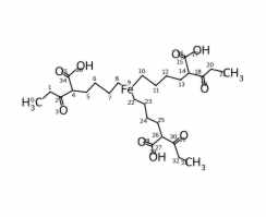 CCC(=O)C(CCC[CH2][Fe]([CH2]CCCC(C(=O)O)C(=O)CC)[CH2]CCCC(C(=O)O)C(=O)CC)C(=O)O